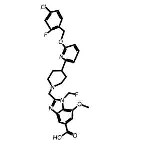 COc1cc(C(=O)O)cc2nc(CN3CCC(c4cccc(OCc5ccc(Cl)cc5F)n4)CC3)n(CF)c12